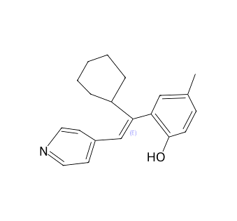 Cc1ccc(O)c(/C(=C/c2ccncc2)C2CCCCC2)c1